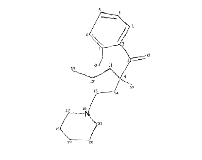 C=C(c1ccccc1C)C(C)(CCC)CCN1CCCCC1